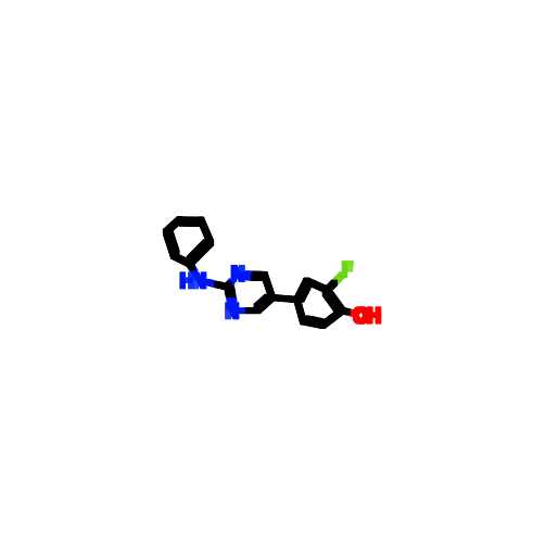 Oc1ccc(-c2cnc(Nc3ccccc3)nc2)cc1F